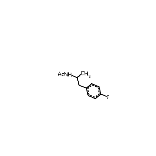 CC(=O)NC(C)Cc1ccc(F)cc1